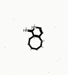 N=c1[nH]ccc2c1CCCCCC2